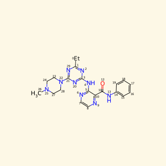 CCc1nc(Nc2nccnc2C(=O)Nc2ccccc2)nc(N2CCN(C)CC2)n1